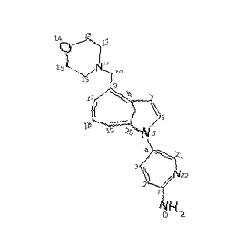 Nc1ccc(-n2ccc3c(CN4CCOCC4)cccc32)cn1